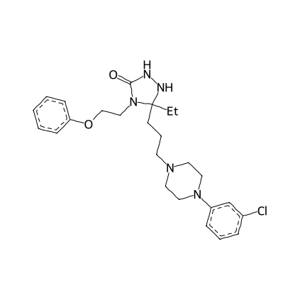 CCC1(CCCN2CCN(c3cccc(Cl)c3)CC2)NNC(=O)N1CCOc1ccccc1